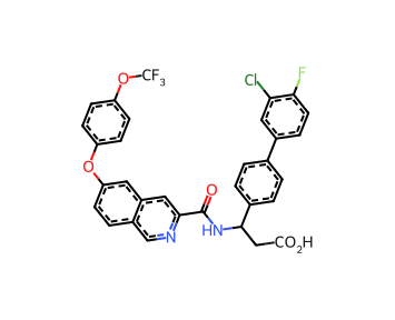 O=C(O)CC(NC(=O)c1cc2cc(Oc3ccc(OC(F)(F)F)cc3)ccc2cn1)c1ccc(-c2ccc(F)c(Cl)c2)cc1